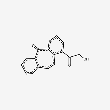 O=C(CO)c1cccc2c(=O)c3ccccc3ccc12